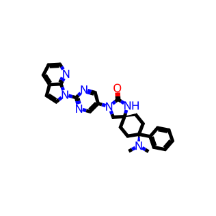 CN(C)[C@]1(c2ccccc2)CC[C@@]2(CC1)CN(c1cnc(-n3ccc4cccnc43)nc1)C(=O)N2